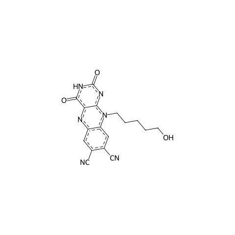 N#Cc1cc2nc3c(=O)[nH]c(=O)nc-3n(CCCCCO)c2cc1C#N